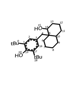 CC(C)(C)c1cc(CC23CCCCC2CCCC3O)cc(C(C)(C)C)c1O